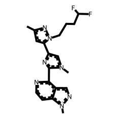 Cc1cc(-c2cn(C)c(-c3nccc4c3cnn4C)n2)n(CCCC(F)F)n1